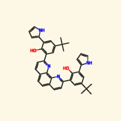 CC(C)(C)c1cc(-c2ccc3ccc4ccc(-c5cc(C(C)(C)C)cc(-c6ccc[nH]6)c5O)nc4c3n2)c(O)c(-c2ccc[nH]2)c1